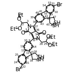 CCOC(CN1C(=O)C2=C(c3ccc4c(c3)C(CS)(CS)c3cc(Br)ccc3-4)N(CC(OCC)OCC)C(=O)C2=C1c1ccc2c(c1)C(CS)(CS)c1cc(Br)ccc1-2)OCC